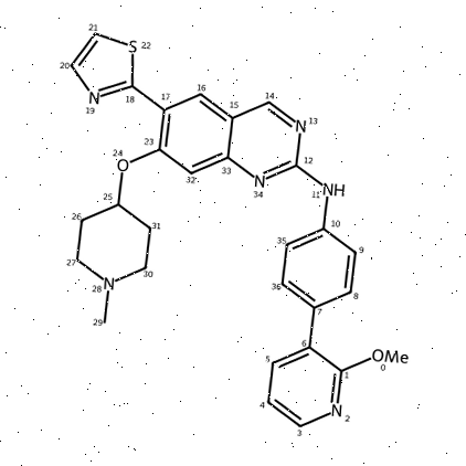 COc1ncccc1-c1ccc(Nc2ncc3cc(-c4nccs4)c(OC4CCN(C)CC4)cc3n2)cc1